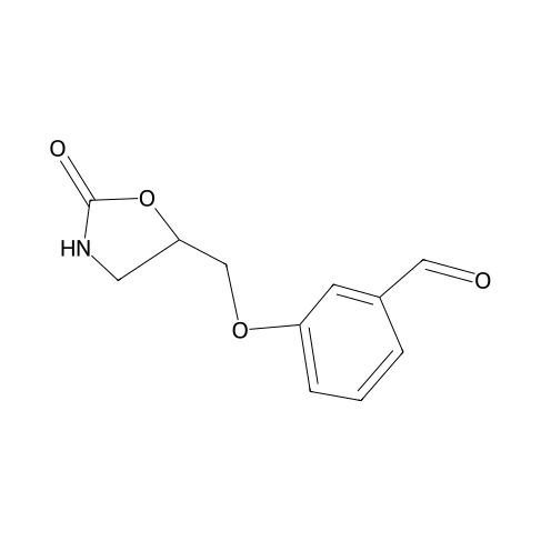 O=Cc1cccc(OCC2CNC(=O)O2)c1